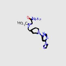 NC(=O)CN(CC1CCN(c2cc(-n3ccnc3)ncn2)CC1)C(=O)O